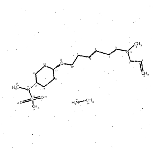 C=CCN(C)CCCCCCO[C@H]1CC[C@H](N(C)S(C)(=O)=O)CC1.CN